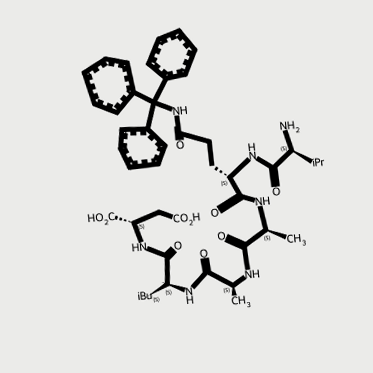 CC[C@H](C)[C@H](NC(=O)[C@H](C)NC(=O)[C@H](C)NC(=O)[C@H](CCC(=O)NC(c1ccccc1)(c1ccccc1)c1ccccc1)NC(=O)[C@@H](N)C(C)C)C(=O)N[C@@H](CC(=O)O)C(=O)O